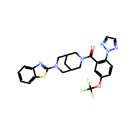 O=C(c1cc(OC(F)(F)F)ccc1-n1nccn1)N1CC2CC(C1)CN(c1nc3ccccc3s1)C2